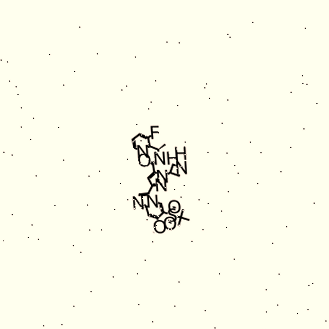 COc1cc2ncc(-c3cc(C(=O)N[C@H](C)c4ncccc4F)n(C4CNC4)n3)n2cc1S(=O)(=O)C(C)(C)C